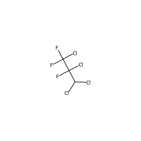 FC(F)(Cl)C(F)(Cl)C(Cl)Cl